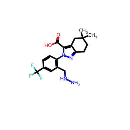 CC1(C)CCc2nn(-c3ccc(C(F)(F)F)cc3CNN)c(C(=O)O)c2C1